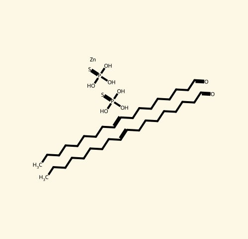 CCCCCCCCC=CCCCCCCCC=O.CCCCCCCCC=CCCCCCCCC=O.OP(O)(O)=S.OP(O)(O)=S.[Zn]